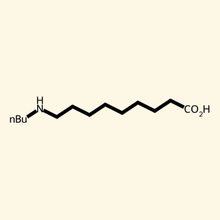 CCCCNCCCCCCCCC(=O)O